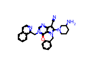 N#Cc1c(N2CCCC(N)C2)n(Cc2ccccc2)c2c(=O)n(Cc3nccc4ccccc34)cnc12